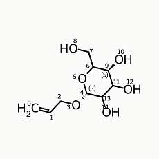 C=CCO[C@@H]1OC(CO)[C@@H](O)C(O)C1O